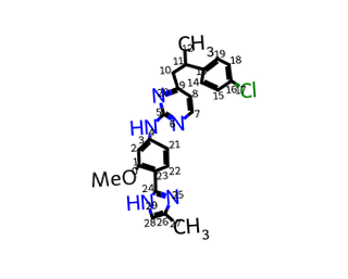 COc1cc(Nc2nccc(CC(C)c3ccc(Cl)cc3)n2)ccc1-c1nc(C)c[nH]1